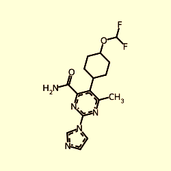 Cc1nc(-n2ccnc2)nc(C(N)=O)c1C1CCC(OC(F)F)CC1